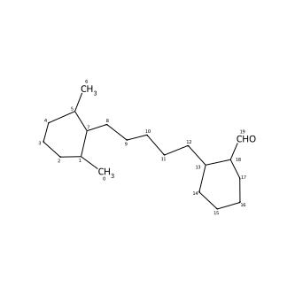 CC1CCCC(C)C1CCCCCC1CCCCC1C=O